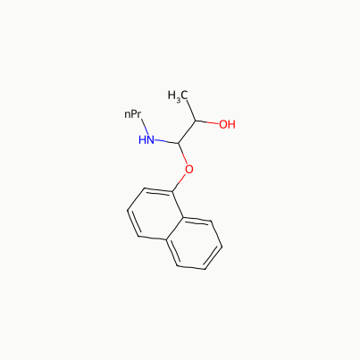 CCCNC(Oc1cccc2ccccc12)C(C)O